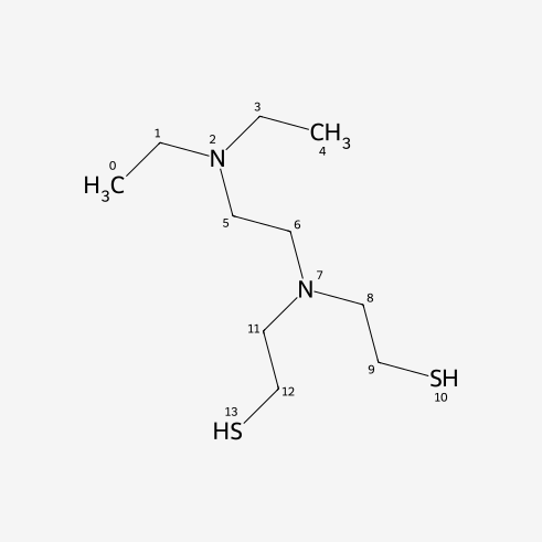 CCN(CC)CCN(CCS)CCS